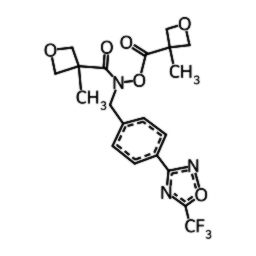 CC1(C(=O)ON(Cc2ccc(-c3noc(C(F)(F)F)n3)cc2)C(=O)C2(C)COC2)COC1